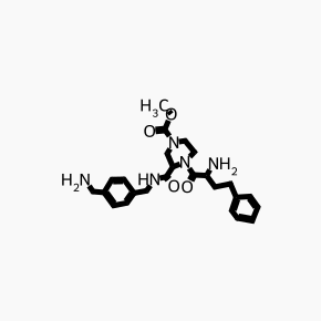 COC(=O)N1CCN(C(=O)C(N)CCc2ccccc2)C(C(=O)NCc2ccc(CN)cc2)C1